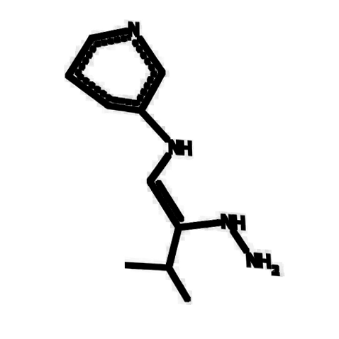 CC(C)/C(=C/Nc1cccnc1)NN